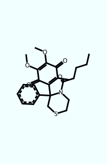 CCCCC(=O)N1CCSCC1(C1=C(C)C(=O)C(OC)=C(OC)C1=O)c1ccccc1